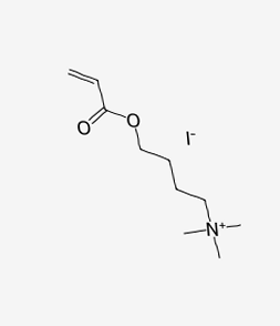 C=CC(=O)OCCCC[N+](C)(C)C.[I-]